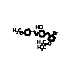 CO[C@H]1CC[C@H](CCN2CCC(Cc3cc(OC(C)C)ccc3Br)CC2)CC1.Cl